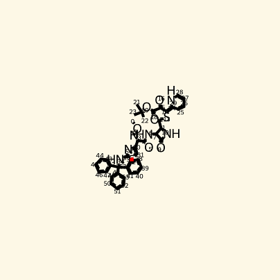 CON=C(C(=O)NC1C(=O)NC1CSC(C(=O)C(=O)OC(C)(C)C)=C1C=CC=CN1)c1csc(NC(c2ccccc2)(c2ccccc2)c2ccccc2)n1